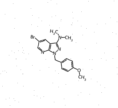 COc1ccc(Cn2nc(N(C)C)c3cc(Br)cnc32)cc1